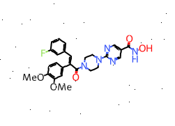 COc1ccc(/C(=C\c2cccc(F)c2)C(=O)N2CCN(c3ncc(C(=O)NO)cn3)CC2)cc1OC